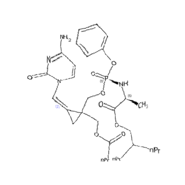 CCCC(=O)OCC1(CO[P@@](=O)(N[C@@H](C)C(=O)OCC(CCC)CCC)Oc2ccccc2)C/C1=C/n1ccc(N)nc1=O